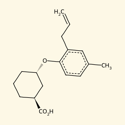 C=CCc1cc(C)ccc1O[C@H]1CCC[C@H](C(=O)O)C1